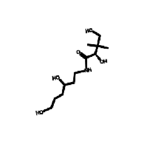 CC(C)(CO)[C@@H](O)C(=O)NCCC(O)CCCO